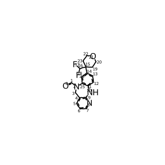 O=CN1Cc2cccnc2Nc2ccc(C3(C(F)F)CCOCC3)cc21